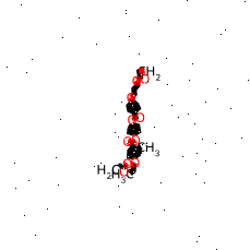 C=CC(=O)OCCCOc1ccc(C(=O)Oc2ccc(OC(=O)c3ccc(OC(CC)OC(=O)C=C)cc3C)cc2)cc1